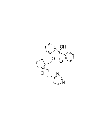 C[N+]1(CCc2ccncn2)CCCC1COC(=O)C(O)(c1ccccc1)c1ccccc1